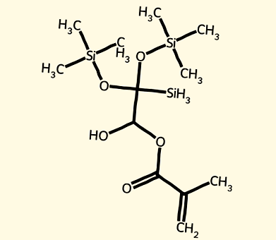 C=C(C)C(=O)OC(O)C([SiH3])(O[Si](C)(C)C)O[Si](C)(C)C